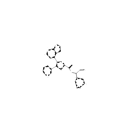 NCC(NC(=O)c1cc(-c2cccnc2)c(-c2ccnc3[nH]ccc23)s1)c1ccccc1